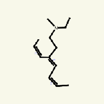 C\C=C/C=C(\C=C/C)CCN(C)CC